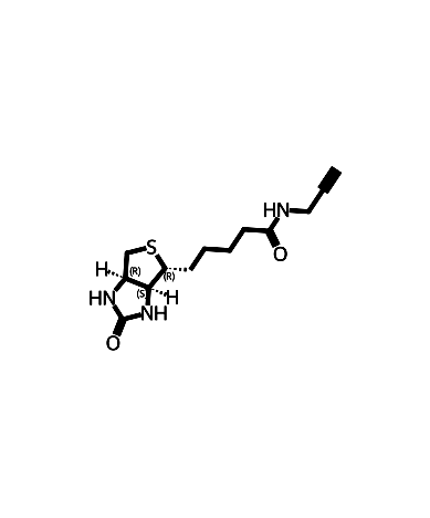 C#CCNC(=O)CCCC[C@H]1SC[C@@H]2NC(=O)N[C@@H]21